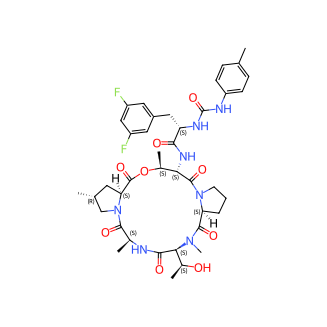 Cc1ccc(NC(=O)N[C@@H](Cc2cc(F)cc(F)c2)C(=O)N[C@@H]2C(=O)N3CCC[C@H]3C(=O)N(C)[C@@H]([C@H](C)O)C(=O)N[C@@H](C)C(=O)N3C[C@H](C)C[C@H]3C(=O)O[C@H]2C)cc1